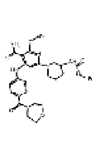 CCCOc1nc(N2CCCC(NC(=O)OC(C)(C)C)C2)cc(Nc2ccc(C(=O)N3CCOCC3)cc2)c1C(N)=O